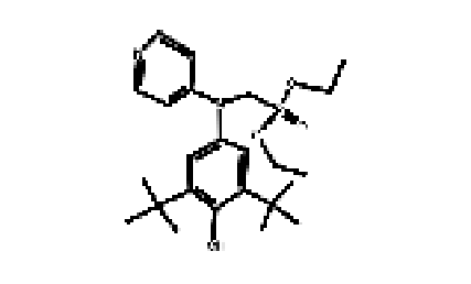 CCOP(=O)(CN(c1ccncc1)c1cc(C(C)(C)C)c(O)c(C(C)(C)C)c1)OCC